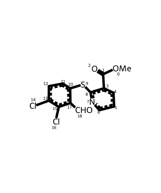 COC(=O)c1cccnc1Sc1ccc(Cl)c(Cl)c1C=O